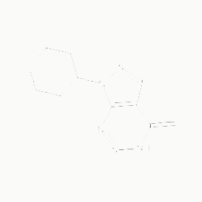 C=C1NN=Nc2c1cnn2C1CCOCC1